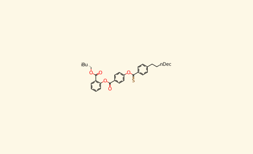 CCCCCCCCCCCCc1ccc(C(=S)Oc2ccc(C(=O)Oc3ccccc3C(=O)OC[C@@H](C)CC)cc2)cc1